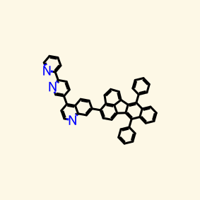 c1ccc(-c2c3c(c(-c4ccccc4)c4ccccc24)-c2ccc(-c4ccc5c(-c6ccc(-c7ccccn7)nc6)ccnc5c4)c4cccc-3c24)cc1